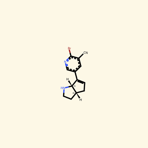 N#Cc1cc(C2=CC[C@@H]3CCN[C@H]23)cnc1Br